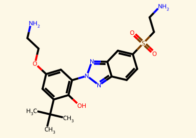 CC(C)(C)c1cc(OCCN)cc(-n2nc3ccc(S(=O)(=O)CCN)cc3n2)c1O